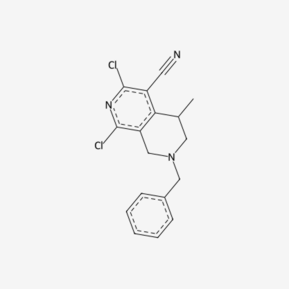 CC1CN(Cc2ccccc2)Cc2c(Cl)nc(Cl)c(C#N)c21